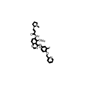 COc1c(NC(=O)/C=C/[C@H]2CCCN2C)ccc2ncnc(Nc3ccc(OCc4ccccn4)c(F)c3)c12